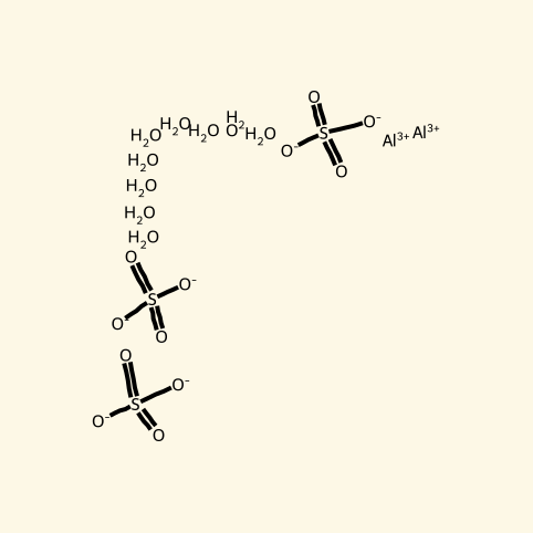 O.O.O.O.O.O.O.O.O.O=S(=O)([O-])[O-].O=S(=O)([O-])[O-].O=S(=O)([O-])[O-].[Al+3].[Al+3]